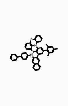 Cc1cc(C)c(-c2cc3c4c(c2)N2c5ccccc5Oc5cccc(c52)B4N(c2ccc(-c4ccccc4)cc2)c2cc4ccccc4cc2-3)c(C)c1